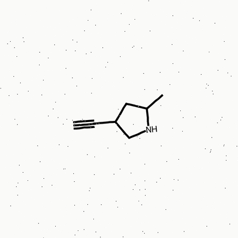 C#CC1CNC(C)C1